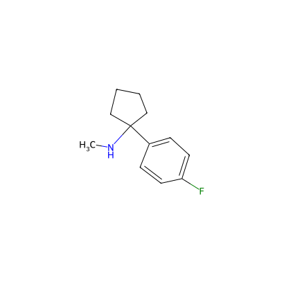 CNC1(c2ccc(F)cc2)CCCC1